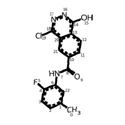 Cc1ccc(F)c(NC(=O)c2ccc3c(O)nnc(Cl)c3c2)c1